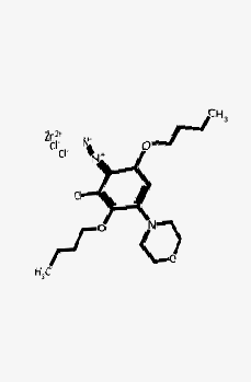 CCCCOC1=C(Cl)C(=[N+]=[N-])C(OCCCC)C=C1N1CCOCC1.[Cl-].[Cl-].[Zn+2]